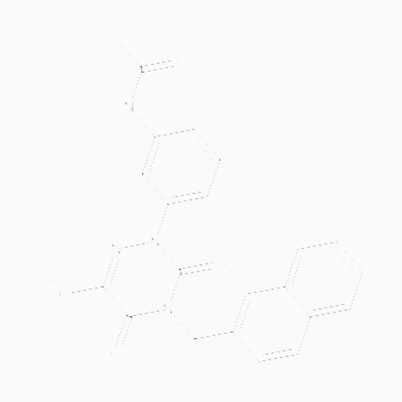 COc1nn(-c2cccc(NC(C)=O)c2)c(=O)n(Cc2ccc3ccccc3c2)c1=O